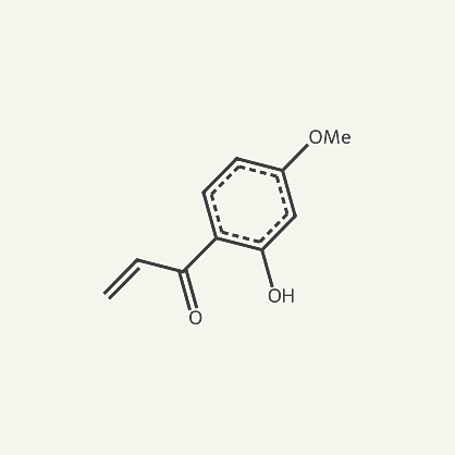 C=CC(=O)c1ccc(OC)cc1O